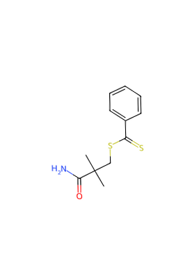 CC(C)(CSC(=S)c1ccccc1)C(N)=O